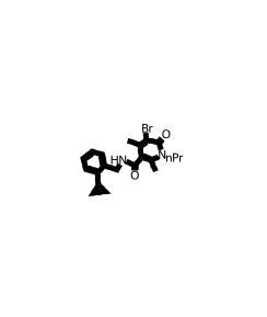 CCCn1c(C)c(C(=O)NCc2ccccc2C2CC2)c(C)c(Br)c1=O